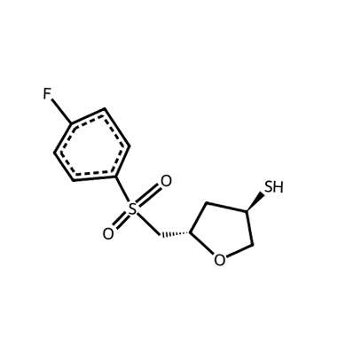 O=S(=O)(C[C@@H]1C[C@@H](S)CO1)c1ccc(F)cc1